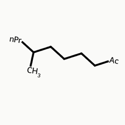 CCCC(C)CCCCC(C)=O